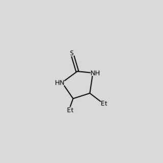 CCC1NC(=S)NC1CC